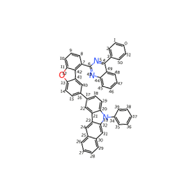 c1ccc(-c2nc(-c3cccc4oc5ccc(-c6ccc7c(c6)c6cc8ccccc8cc6n7-c6ccccc6)cc5c34)nc3ccccc23)cc1